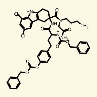 CCCCN(CC(N)=O)C(=O)C1(NC(=O)C(CCc2ccc(OC(=O)OCc3ccccc3)cc2)NC(=O)OCc2ccccc2)CCc2[nH]c3c(Cl)cc(Cl)cc3c2C1